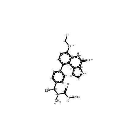 CC[C@@H](c1ccc(-c2ccc(OCCl)c3[nH]c(=O)c4sccc4c23)cc1)N(C)C(=O)OC(C)(C)C